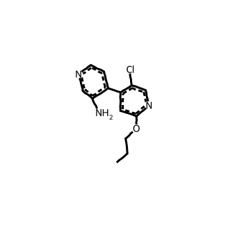 CCCOc1cc(-c2ccncc2N)c(Cl)cn1